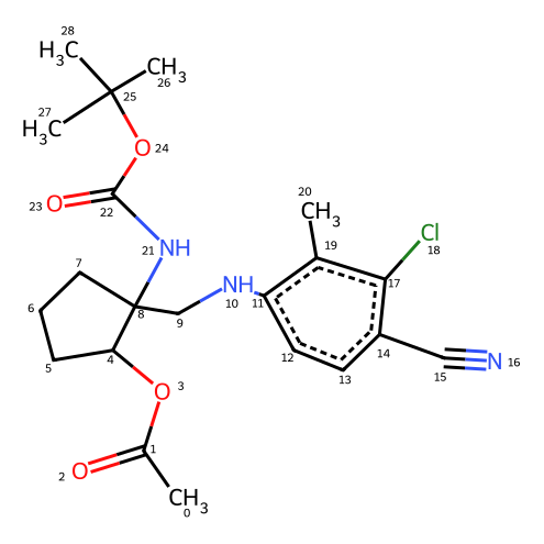 CC(=O)OC1CCCC1(CNc1ccc(C#N)c(Cl)c1C)NC(=O)OC(C)(C)C